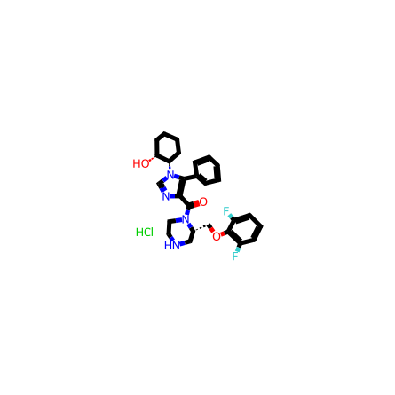 Cl.O=C(c1ncn([C@H]2CCCC[C@H]2O)c1-c1ccccc1)N1CCNC[C@H]1COc1c(F)cccc1F